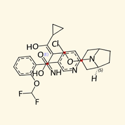 N=C(/C(COC1CC2CC[C@@H](C1)N2c1cc(Cl)c(C(=O)O)cn1)=C(\O)C1CC1)c1ccccc1OC(F)F